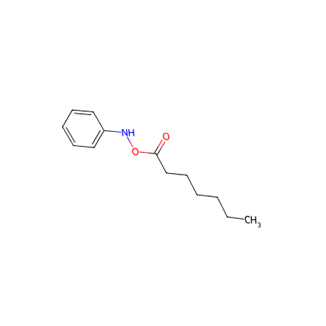 CCCCCCC(=O)ONc1ccccc1